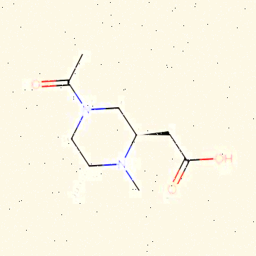 CC(=O)N1C[C@@H](CC(=O)O)N(C)[C@H](C)C1